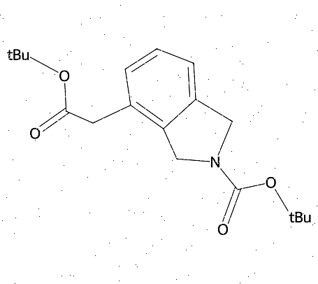 CC(C)(C)OC(=O)Cc1cccc2c1CN(C(=O)OC(C)(C)C)C2